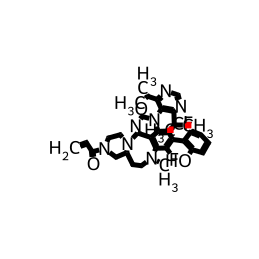 C=CC(=O)N1CCN2c3nc(=O)n(-c4c(C(C)C)ncnc4C(C)C)c4c(Cl)c(-c5c(O)cccc5F)c(F)c(c34)N(C)CCC2C1